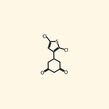 O=C1CC(=O)CC(c2cc(Cl)sc2Cl)C1